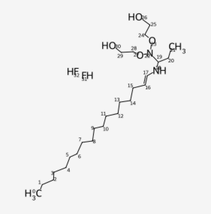 CCCCCCCCCCCCCCCCC=CNC(CC)N(OCCO)OCCO.F.F